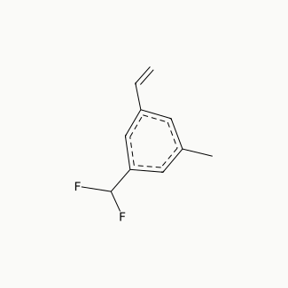 C=Cc1cc(C)cc(C(F)F)c1